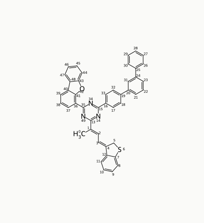 C/C(=C\C=C1/CSc2ccccc21)c1nc(-c2ccc(-c3cccc(-c4ccccc4)c3)cc2)nc(-c2cccc3c2oc2ccccc23)n1